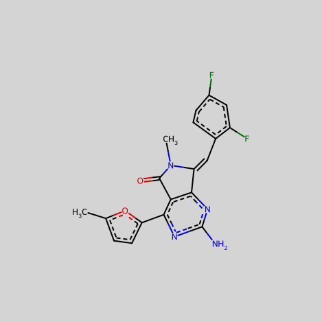 Cc1ccc(-c2nc(N)nc3c2C(=O)N(C)/C3=C\c2ccc(F)cc2F)o1